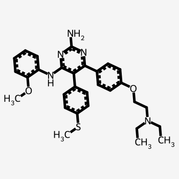 CCN(CC)CCOc1ccc(-c2nc(N)nc(Nc3ccccc3OC)c2-c2ccc(SC)cc2)cc1